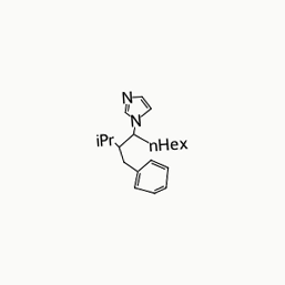 CCCCCCC(C(Cc1ccccc1)C(C)C)n1ccnc1